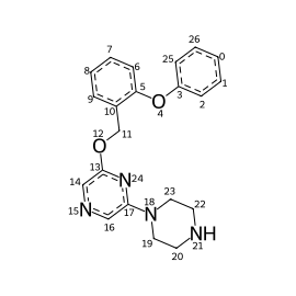 c1ccc(Oc2ccccc2COc2cncc(N3CCNCC3)n2)cc1